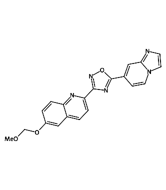 COCOc1ccc2nc(-c3noc(-c4ccn5ccnc5c4)n3)ccc2c1